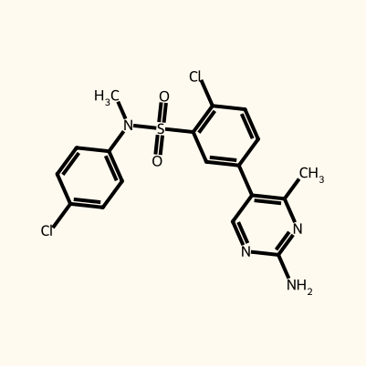 Cc1nc(N)ncc1-c1ccc(Cl)c(S(=O)(=O)N(C)c2ccc(Cl)cc2)c1